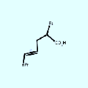 CCC/C=C/CC(CC)C(=O)O